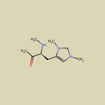 CN[C@@H](CC1=CN(C)CN1C)C(C)=O